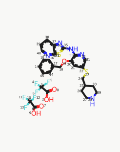 O=C(O)C(F)(F)F.O=C(O)C(F)(F)F.c1ccc(COc2cc(SCC3CCNCC3)cnc2Nc2nc3cccnc3s2)cc1